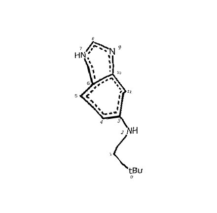 CC(C)(C)CNc1ccc2[nH]cnc2c1